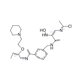 C=C(NCc1cccc(C(=C)/N=C\C(=C/C)OCCN2CCCCC2)c1)/C(=C\N=C(/C)Cl)NO